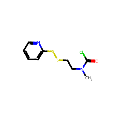 CN(CCSSc1ccccn1)C(=O)Cl